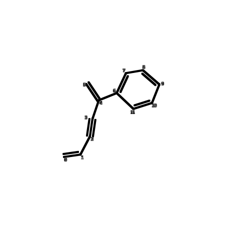 C=CC#CC(=C)c1ccccc1